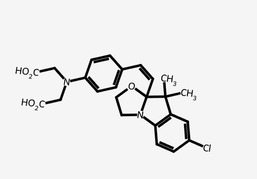 CC1(C)c2cc(Cl)ccc2N2CCOC21/C=C\c1ccc(N(CC(=O)O)CC(=O)O)cc1